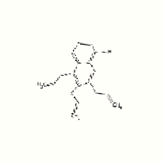 C=CCc1nc2c(F)cccc2c(CC=C)c1CC=C